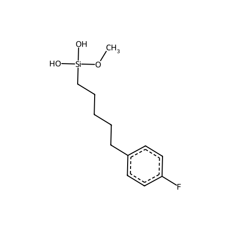 CO[Si](O)(O)CCCCCc1ccc(F)cc1